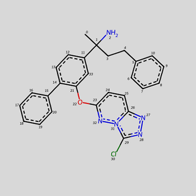 CC(N)(CCc1ccccc1)c1ccc(-c2ccccc2)c(Oc2ccc3nnc(Cl)n3n2)c1